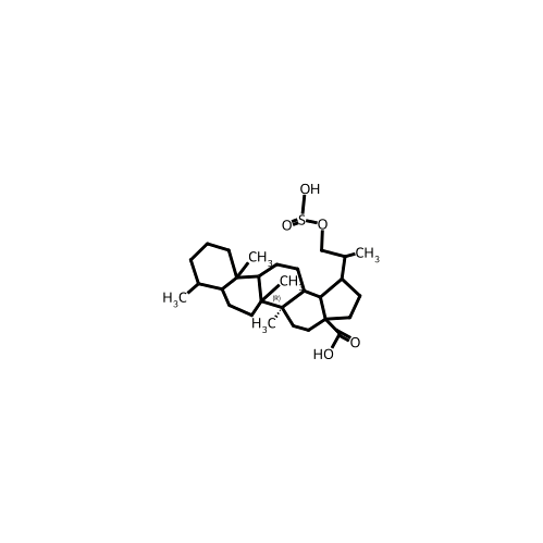 CC(COS(=O)O)C1CCC2(C(=O)O)CC[C@]3(C)C(CCC4C5(C)CCCC(C)C5CCC43C)C12